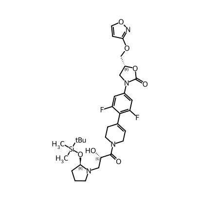 CC(C)(C)[Si](C)(C)O[C@@H]1CCCN1C[C@H](O)C(=O)N1CC=C(c2c(F)cc(N3C[C@H](COc4ccon4)OC3=O)cc2F)CC1